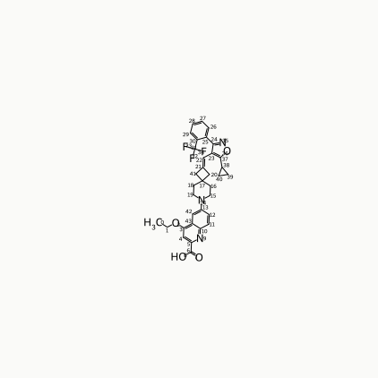 CCOc1cc(C(=O)O)nc2ccc(N3CCC4(CC3)CC(=Cc3c(-c5ccccc5C(F)(F)F)noc3C3CC3)C4)cc12